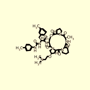 Cc1ccc(NC(=O)N[C@@H](Cc2cccc(C)c2)C(=O)N[C@@H]2C(=O)N3C[C@H](OCCN(C)C)C[C@H]3C(=O)N3CCCC[C@H]3C(=O)N[C@@H](C)C(=O)N3CCC[C@H]3C(=O)O[C@H]2C)cc1